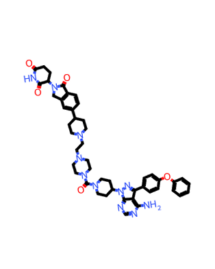 Nc1ncnc2c1c(-c1ccc(Oc3ccccc3)cc1)nn2C1CCN(C(=O)N2CCN(CCN3CCC(c4ccc5c(c4)CN(C4CCC(=O)NC4=O)C5=O)CC3)CC2)CC1